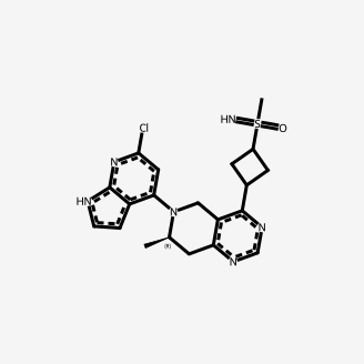 C[C@@H]1Cc2ncnc(C3CC(S(C)(=N)=O)C3)c2CN1c1cc(Cl)nc2[nH]ccc12